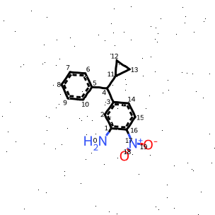 Nc1cc(C(c2ccccc2)C2CC2)ccc1[N+](=O)[O-]